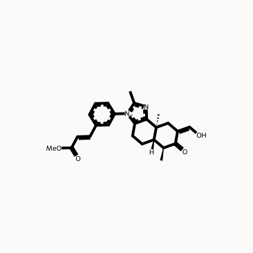 COC(=O)/C=C/c1cccc(-n2c(C)nc3c2CC[C@H]2[C@H](C)C(=O)/C(=C\O)C[C@]32C)c1